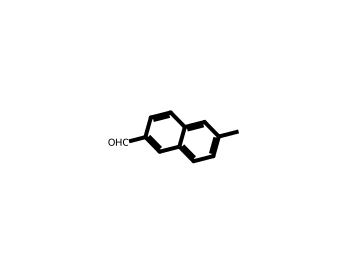 Cc1ccc2cc(C=O)ccc2c1